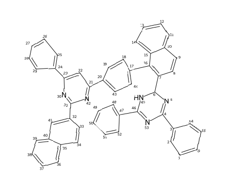 c1ccc(C2=NC(c3ccc4ccccc4c3-c3ccc(-c4cc(-c5ccccc5)nc(-c5ccc6ccccc6c5)n4)cc3)NC(c3ccccc3)=N2)cc1